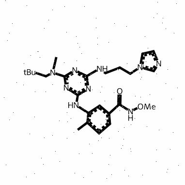 CONC(=O)c1ccc(C)c(Nc2nc(NCCCn3ccnc3)nc(N(C)CC(C)(C)C)n2)c1